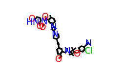 Cc1ccc(N2CC(N3CCC(C#Cc4ccc(C=O)c(CN(C)C5C(C)(C)C(OC6=CCC(C#N)C(Cl)=C6)C5(C)C)c4)CC3)C2)cc1C(=O)N(C=O)C1CCC(=O)NC1=O